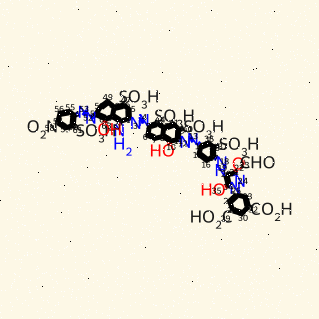 Nc1c(N=Nc2ccc3c(O)c(N=Nc4ccc(N=Nc5c(OC=O)nn(-c6cc(C(=O)O)cc(C(=O)O)c6)c5O)c(S(=O)(=O)O)c4)c(S(=O)(=O)O)cc3c2S(=O)(=O)O)cc(S(=O)(=O)O)c2ccc(N=Nc3ccc([N+](=O)[O-])cc3S(=O)(=O)O)c(O)c12